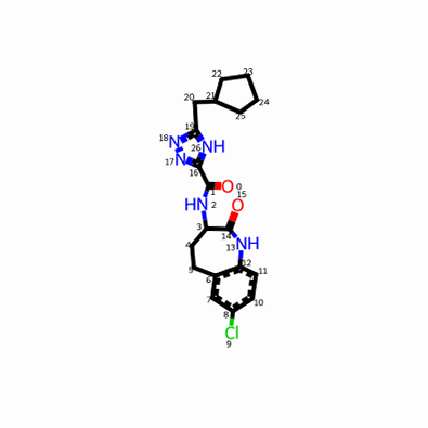 O=C(NC1CCc2cc(Cl)ccc2NC1=O)c1nnc(CC2CCCC2)[nH]1